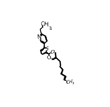 CCCCCCCC1COC(c2ccc(-c3ccc(CCC)nc3)s2)OC1